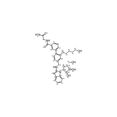 NC(=O)CNC(=O)c1cccc(-c2ccc(CNc3nc4ccccc4n3[C@@H]3O[C@H](CO)[C@@H](O)[C@H]3O)cc2OCCCCO)c1